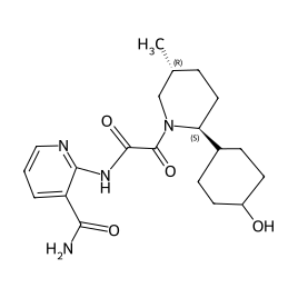 C[C@@H]1CC[C@@H](C2CCC(O)CC2)N(C(=O)C(=O)Nc2ncccc2C(N)=O)C1